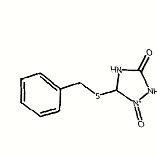 O=C1NC(SCc2ccccc2)[N+](=O)N1